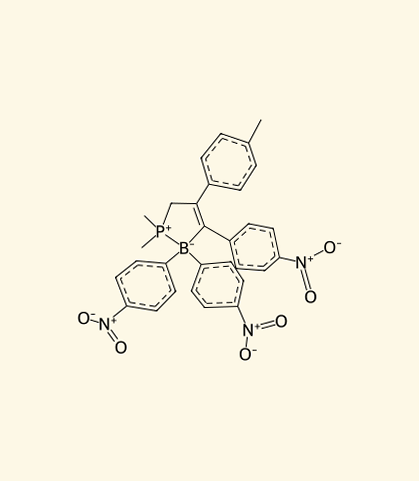 Cc1ccc(C2=C(c3ccc([N+](=O)[O-])cc3)[B-](c3ccc([N+](=O)[O-])cc3)(c3ccc([N+](=O)[O-])cc3)[P+](C)(C)C2)cc1